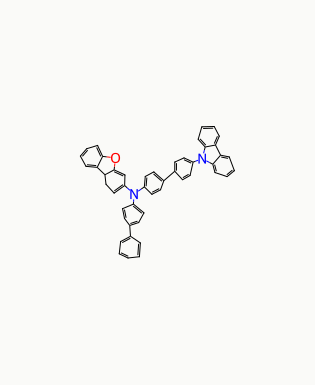 C1=C2Oc3ccccc3C2CC=C1N(c1ccc(-c2ccccc2)cc1)c1ccc(-c2ccc(-n3c4ccccc4c4ccccc43)cc2)cc1